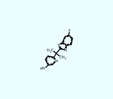 CCCc1ccc(C(C)(C)c2nc3ccc(F)cc3s2)nc1